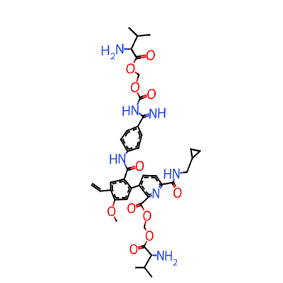 C=Cc1cc(C(=O)Nc2ccc(C(=N)NC(=O)OCOC(=O)[C@@H](N)C(C)C)cc2)c(-c2ccc(C(=O)NCC3CC3)nc2C(=O)OCOC(=O)[C@@H](N)C(C)C)cc1OC